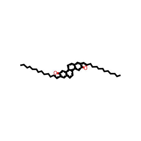 CCCCCCCCCCCc1cc2cc3ccc4c5cc6oc(CCCCCCCCCCC)cc6cc5ccc4c3cc2o1